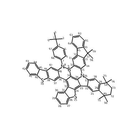 CC(C)(C)c1ccc(N2B3c4cc5c(cc4-n4c6cc7c(cc6c6c8sc9ccccc9c8c(c3c64)-c3cc4sc6ccccc6c4cc32)C(C)(C)CCC7(C)C)C(C)(C)c2ccccc2-5)cc1